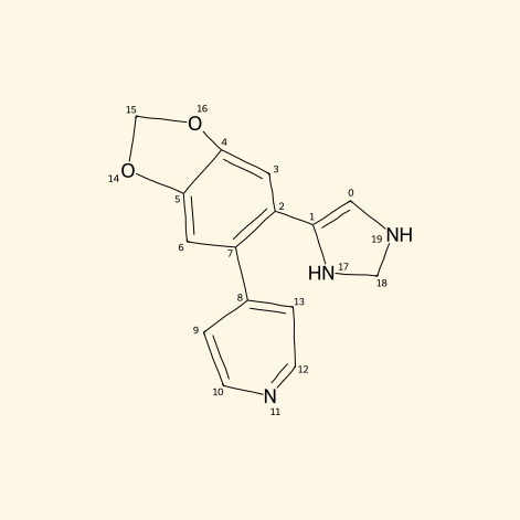 C1=C(c2cc3c(cc2-c2ccncc2)OCO3)NCN1